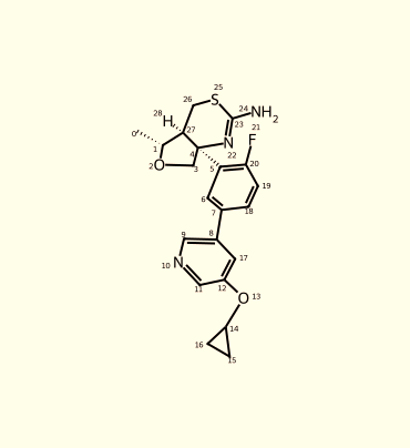 C[C@H]1OC[C@]2(c3cc(-c4cncc(OC5CC5)c4)ccc3F)N=C(N)SC[C@H]12